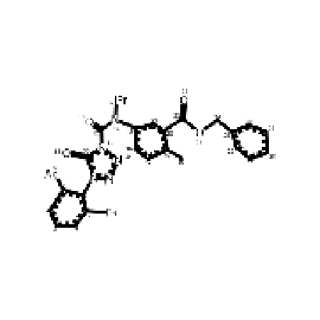 CC(=O)c1cccc(F)c1-n1nnn(C(=O)N(c2ccc(C)c(C(=O)OCc3ccccc3)c2)C(C)C)c1=O